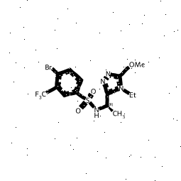 CCn1c(OC)nnc1[C@@H](C)NS(=O)(=O)c1ccc(Br)c(C(F)(F)F)c1